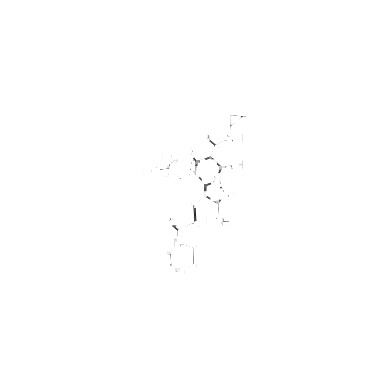 CNc1nn2c(O)c(C(=O)NC3CC3)c(=O)n(CC(C)C)c2c1/C=C/C(=O)N1CCOCC1